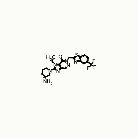 CCn1c(N2CCC[C@@H](N)C2)nc2cnn(Cc3nc4cc(C(F)(F)F)ccc4s3)c(=O)c21